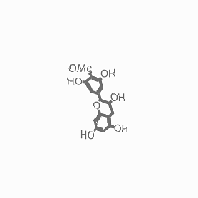 COc1c(O)cc(C2Oc3cc(O)cc(O)c3CC2O)cc1O